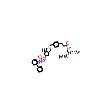 COC(CN(C)C(=O)CCc1ccc(CN2CC3CC(OC(=O)Nc4ccccc4-c4ccccc4)C[C@H]3C2)cc1)OC